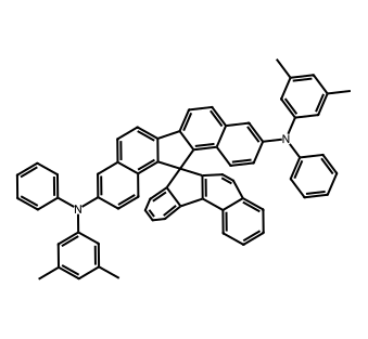 Cc1cc(C)cc(N(c2ccccc2)c2ccc3c4c(ccc3c2)-c2ccc3cc(N(c5ccccc5)c5cc(C)cc(C)c5)ccc3c2C42c3ccccc3-c3c2ccc2ccccc32)c1